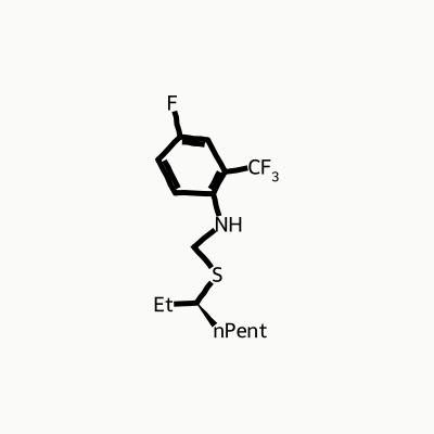 CCCCC[C@@H](CC)SCNc1ccc(F)cc1C(F)(F)F